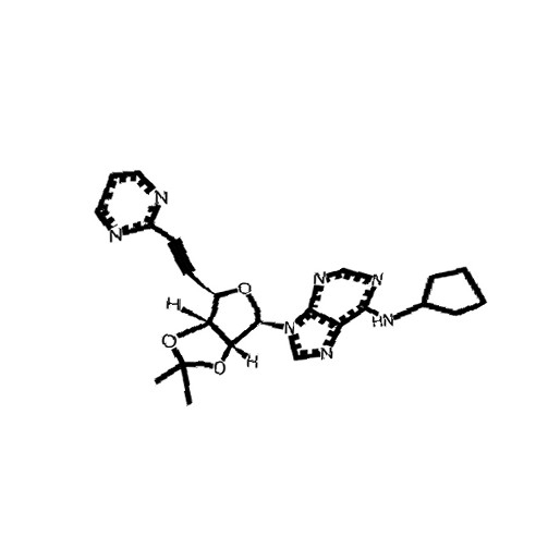 CC1(C)O[C@@H]2[C@H](O1)[C@@H](C#Cc1ncccn1)O[C@H]2n1cnc2c(NC3CCCC3)ncnc21